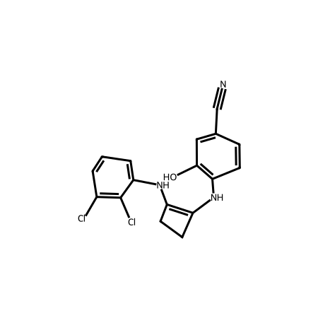 N#Cc1ccc(NC2=C(Nc3cccc(Cl)c3Cl)CC2)c(O)c1